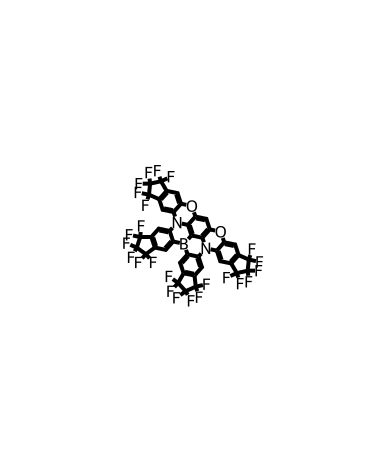 FC1(F)c2cc3c(cc2C(F)(F)C1(F)F)-n1c2cc4c(cc2oc2cc5oc6cc7c(cc6n6c5c(c21)B3c1cc2c(cc1-6)C(F)(F)C(F)(F)C2(F)F)C(F)(F)C(F)(F)C7(F)F)C(F)(F)C(F)(F)C4(F)F